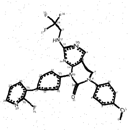 COc1ccc(N2Cc3cnc(NCC(F)(F)F)nc3N(c3ccc(-c4cccnc4F)cc3)C2=O)cc1